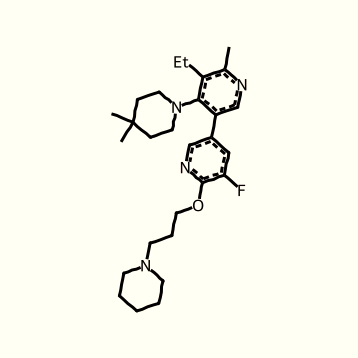 CCc1c(C)ncc(-c2cnc(OCCCN3CCCCC3)c(F)c2)c1N1CCC(C)(C)CC1